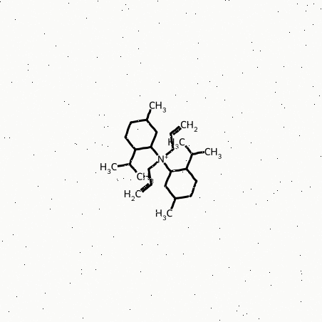 C=CC[N+](CC=C)(C1CC(C)CCC1C(C)C)C1CC(C)CCC1C(C)C